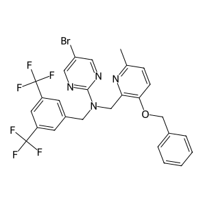 Cc1ccc(OCc2ccccc2)c(CN(Cc2cc(C(F)(F)F)cc(C(F)(F)F)c2)c2ncc(Br)cn2)n1